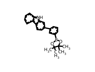 CC1(C)OB(c2cccc(-c3ccc4c(c3)[nH]c3ccccc34)c2)OC1(C)C